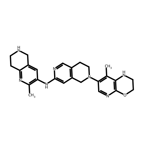 Cc1nc2c(cc1Nc1cc3c(cn1)CCN(c1cnc4c(c1C)NCCO4)C3)CNCC2